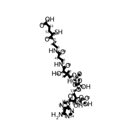 CC(C)(COP(=O)(O)OP(=O)(O)OC[C@H]1O[C@@H](n2cnc3c(N)ncnc32)[C@H](O)[C@@H]1OP(=O)(O)O)[C@@H](O)C(=O)NCCC(=O)NCCSC(=O)C(S)CCC(=O)O